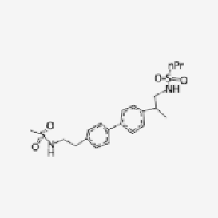 CCCS(=O)(=O)NCC(C)c1ccc(-c2ccc(CCNS(C)(=O)=O)cc2)cc1